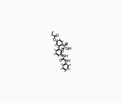 CCC(=O)Oc1ccc(S(=O)(=O)O)c(-c2cccc(NC(=O)Nc3ccccc3)c2)c1